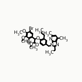 CCCc1cc(Cn2c(CC)nc3c(C)cc(C)nc32)ccc1OC(C(=O)OC)c1cc(Br)c(OC)c(OC)c1Br